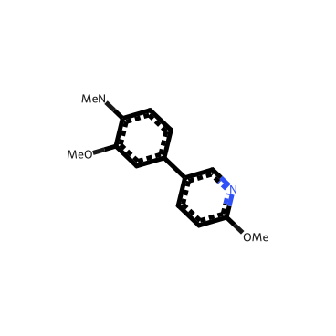 CNc1ccc(-c2ccc(OC)nc2)cc1OC